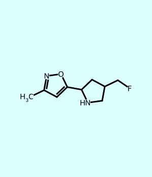 Cc1cc(C2CC(CF)CN2)on1